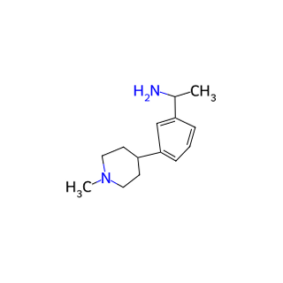 CC(N)c1cccc(C2CCN(C)CC2)c1